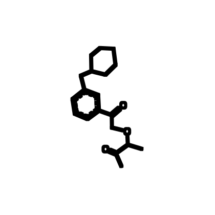 CC(=O)C(C)OCC(=O)c1cccc(CC2CCCCC2)c1